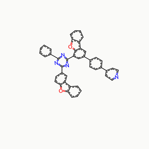 c1ccc(-c2nc(-c3ccc4oc5ccccc5c4c3)nc(-c3cc(-c4ccc(-c5ccncc5)cc4)cc4c3oc3ccccc34)n2)cc1